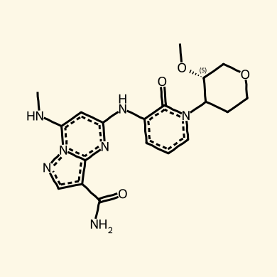 CNc1cc(Nc2cccn(C3CCOC[C@H]3OC)c2=O)nc2c(C(N)=O)cnn12